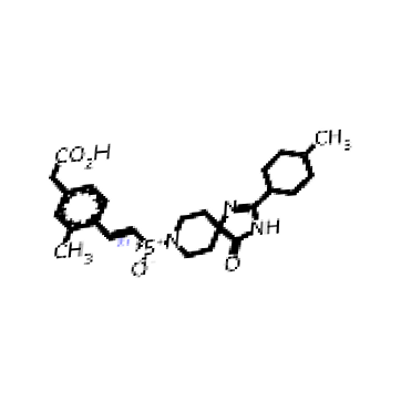 Cc1cc(CC(=O)O)ccc1/C=C/[S@+]([O-])N1CCC2(CC1)N=C(C1CCC(C)CC1)NC2=O